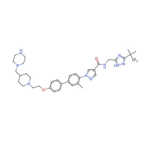 Cc1cc(-c2ccc(OCCN3CCC(CN4CCNCC4)CC3)cc2)ccc1-n1cc(C(=O)NCc2nc(C(C)(C)C(F)(F)F)n[nH]2)cn1